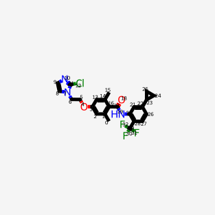 Cc1cc(OCCn2ccnc2Cl)cc(C)c1C(=O)Nc1cc(C2CC2)ccc1C(F)(F)F